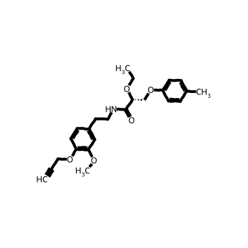 C#CCOc1ccc(CCNC(=O)[C@@H](COc2ccc(C)cc2)OCC)cc1OC